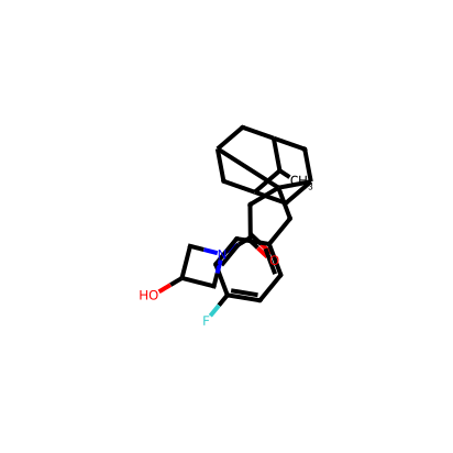 CC1C2CC3CC1CC(C2)C3(CC(=O)N1CC(O)C1)Cc1ccc(F)cc1